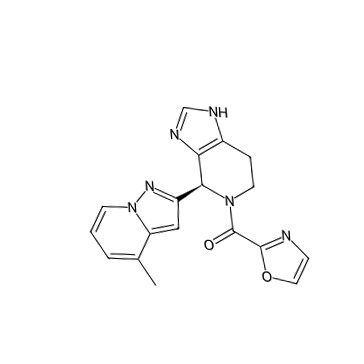 Cc1cccn2nc([C@H]3c4nc[nH]c4CCN3C(=O)c3ncco3)cc12